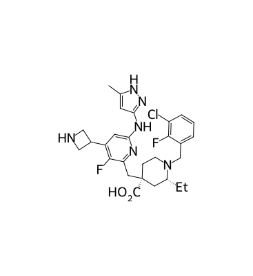 CC[C@@H]1C[C@](Cc2nc(Nc3cc(C)[nH]n3)cc(C3CNC3)c2F)(C(=O)O)CCN1Cc1cccc(Cl)c1F